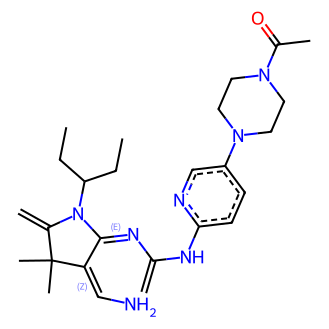 C=C(/N=C1\C(=C/N)C(C)(C)C(=C)N1C(CC)CC)Nc1ccc(N2CCN(C(C)=O)CC2)cn1